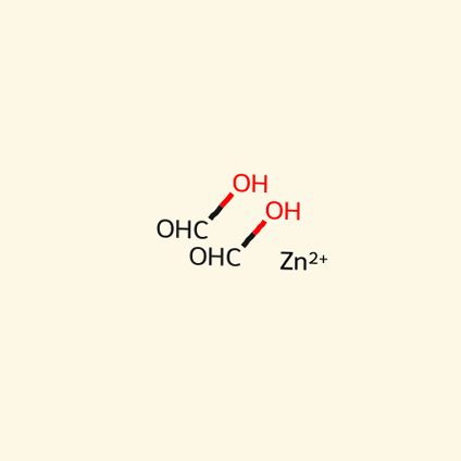 O=[C-]O.O=[C-]O.[Zn+2]